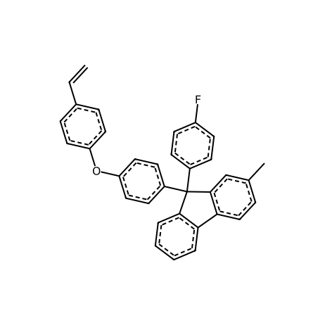 C=Cc1ccc(Oc2ccc(C3(c4ccc(F)cc4)c4ccccc4-c4ccc(C)cc43)cc2)cc1